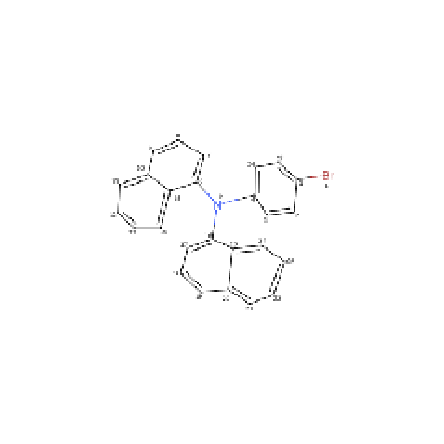 Brc1ccc(N(c2cccc3ccccc23)c2cccc3ccccc23)cc1